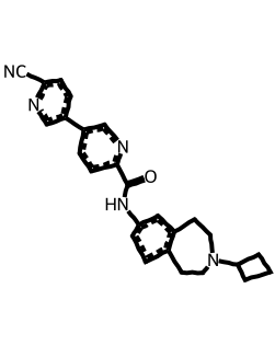 N#Cc1ccc(-c2ccc(C(=O)Nc3ccc4c(c3)CCN(C3CCC3)CC4)nc2)cn1